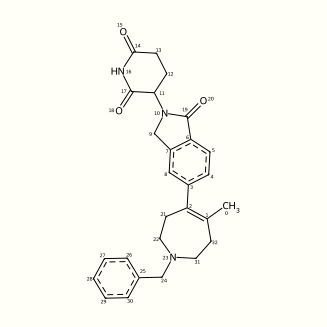 CC1=C(c2ccc3c(c2)CN(C2CCC(=O)NC2=O)C3=O)CCN(Cc2ccccc2)CC1